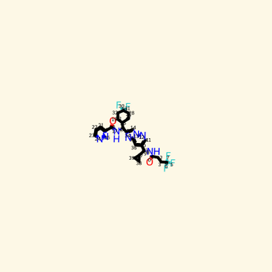 O=C(CCC(F)(F)F)N[C@@H](c1cnn2cc([C@@H](NC(=O)c3cccnn3)C3CCC(F)(F)CC3)nc2c1)C1CC1